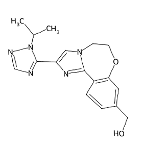 CC(C)n1ncnc1-c1cn2c(n1)-c1ccc(CO)cc1OCC2